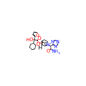 NC(=O)C(c1ncncn1)[N+]12CCC(CC1)[C@@H](OC(=O)C(O)(c1ccco1)C1CCCCC1)C2